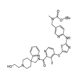 CN(Cc1ccc(Nc2ncc(Sc3ccnc(C(=O)NCC4(c5ccccc5)CCN(CCO)CC4)c3F)s2)nc1)C(=O)OC(C)(C)C